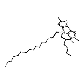 CCCCCCCCCCCCCCCC[Si]1(CC(CC)CCCC)c2cc(C)sc2-c2sc(C)cc21